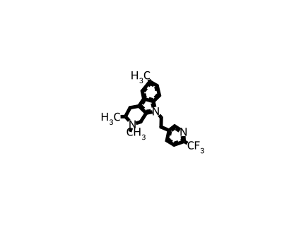 Cc1ccc2c(c1)c1c(n2CCc2ccc(C(F)(F)F)nc2)CN(C)C(C)C1